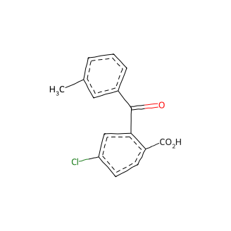 Cc1cccc(C(=O)c2cc(Cl)ccc2C(=O)O)c1